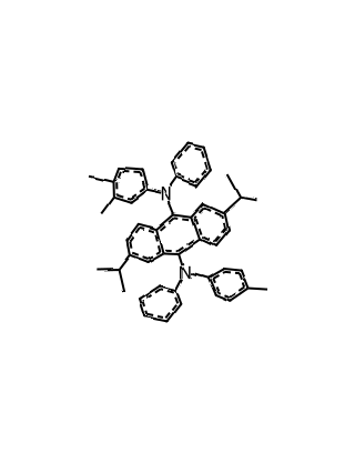 Cc1ccc(N(c2ccccc2)c2c3ccc(C(C)C)cc3c(N(c3ccccc3)c3ccc(C)c(C)c3)c3ccc(C(C)C)cc23)cc1